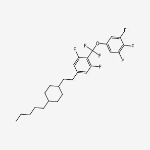 CCCCCC1CCC(CCc2cc(F)c(C(F)(F)Oc3cc(F)c(F)c(F)c3)c(F)c2)CC1